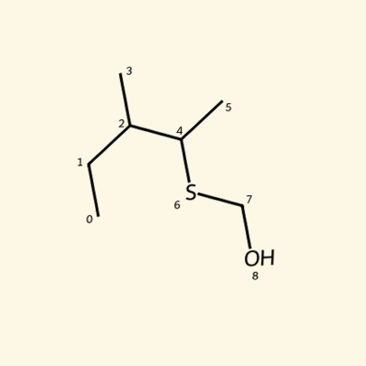 CCC(C)C(C)SCO